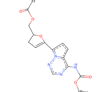 CCCCCOC(=O)Nc1ncnn2c(C3=CCC(COC(=O)CC)O3)ccc12